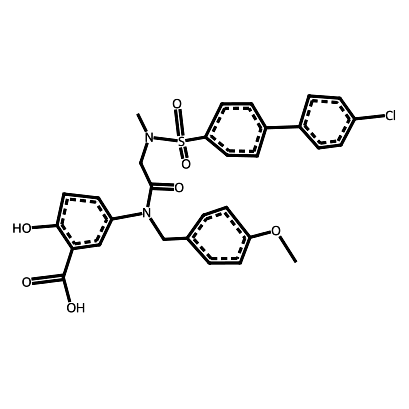 COc1ccc(CN(C(=O)CN(C)S(=O)(=O)c2ccc(-c3ccc(Cl)cc3)cc2)c2ccc(O)c(C(=O)O)c2)cc1